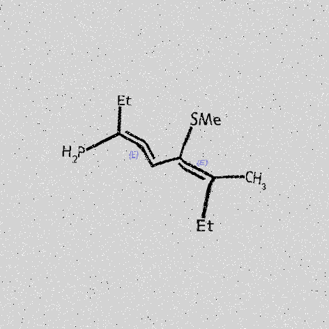 CC/C(P)=C\C(SC)=C(\C)CC